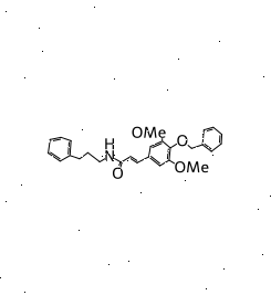 COc1cc(C=CC(=O)NCCCc2ccccc2)cc(OC)c1OCc1ccccc1